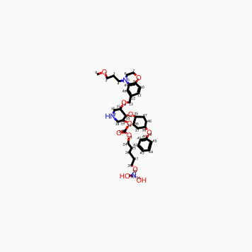 COCCCN1CCOc2ccc(COC3CNCC(OC(=O)OCCCCCON(O)O)C3OC3CCC(Oc4ccccc4)CC3)cc21